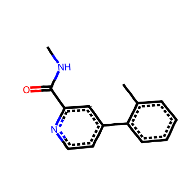 CNC(=O)c1[c]c(-c2ccccc2C)ccn1